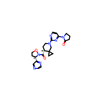 O=C1CCCN1c1ccnc(N2CC[C@@H](C(=O)N3OCC[C@H]3c3cnccn3)C3(CC3)C2)n1